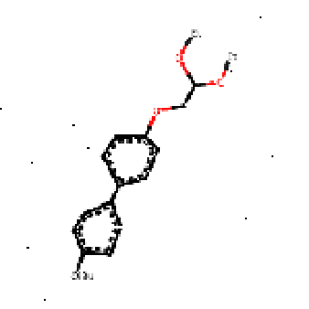 CCOC(COc1ccc(-c2ccc(OCC(C)C)cc2)cc1)OCC